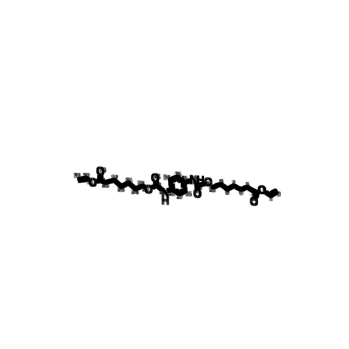 C=COC(=O)CCCCCCOC(=O)Nc1ccc(NC(=O)OCCCCCCC(=O)OC=C)cc1